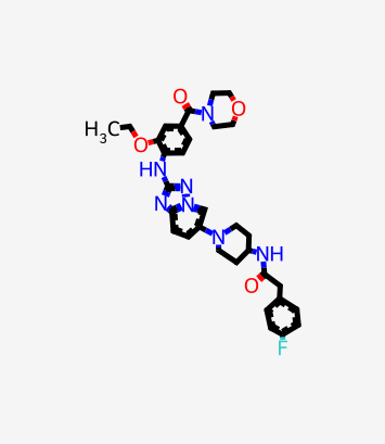 CCOc1cc(C(=O)N2CCOCC2)ccc1Nc1nc2ccc(N3CCC(NC(=O)Cc4ccc(F)cc4)CC3)cn2n1